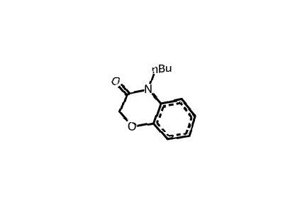 CCCCN1C(=O)COc2ccccc21